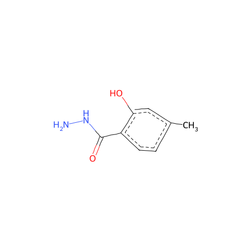 Cc1ccc(C(=O)NN)c(O)c1